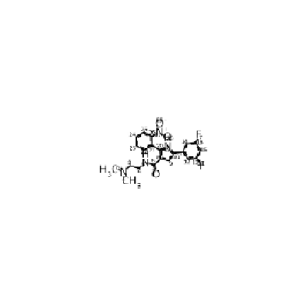 CN(C)CCNC(=O)c1cc(-c2cc(F)cc(F)c2)[nH]c1-c1ccccc1[N+](=O)[O-]